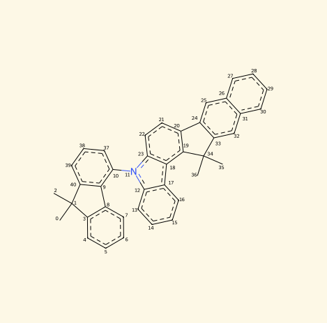 CC1(C)c2ccccc2-c2c(-n3c4ccccc4c4c5c(ccc43)-c3cc4ccccc4cc3C5(C)C)cccc21